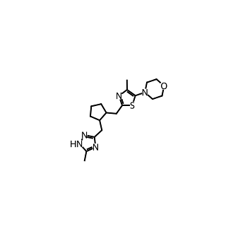 Cc1nc(CC2CCCC2Cc2nc(C)c(N3CCOCC3)s2)n[nH]1